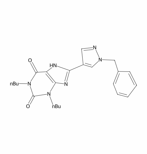 CCCCn1c(=O)c2[nH]c(-c3cnn(Cc4ccccc4)c3)nc2n(CCCC)c1=O